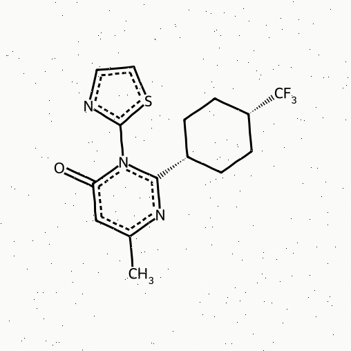 Cc1cc(=O)n(-c2nccs2)c([C@H]2CC[C@@H](C(F)(F)F)CC2)n1